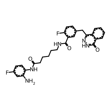 Nc1cc(F)ccc1NC(=O)CCCCCNC(=O)c1cc(Cc2n[nH]c(=O)c3ccccc23)ccc1F